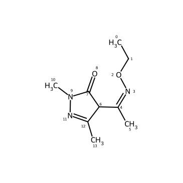 CCO/N=C(/C)C1C(=O)N(C)N=C1C